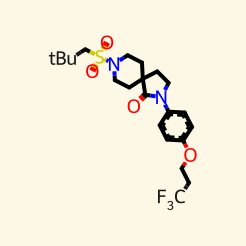 CC(C)(C)CS(=O)(=O)N1CCC2(CCN(c3ccc(OCCC(F)(F)F)cc3)C2=O)CC1